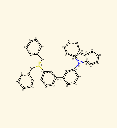 c1ccc(C[SH](Cc2ccccc2)c2cccc(-c3cccc(-n4c5ccccc5c5ccccc54)c3)c2)cc1